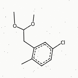 COC(Cc1cc(Cl)ccc1C)OC